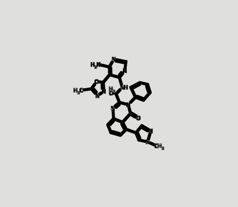 Cc1nnc(-c2c(N)ncnc2N[C@@H](C)c2nc3cccc(-c4cnn(C)c4)c3c(=O)n2-c2ccccc2)o1